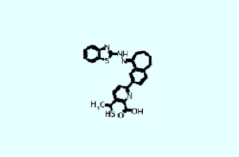 CC(S)c1ccc(-c2ccc3c(c2)/C(=N/Nc2nc4ccccc4s2)CCCC3)nc1C(=O)O